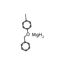 Ic1ccc(OCc2ccccc2)cc1.[MgH2]